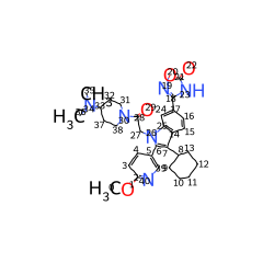 COc1ccc(-c2c(C3CCCCC3)c3ccc(-c4noc(=O)[nH]4)cc3n2CC(=O)N2CCC(N(C)C)CC2)cn1